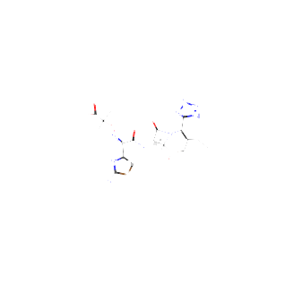 CCC1=C(c2nnn[nH]2)N2C(=O)[C@@H](NC(=O)/C(=N\OC(C)(C)C(=O)O)c3csc(N)n3)[C@H]2[S+]([O-])C1